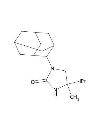 CC(C)C1(C)CN(C2C3CC4CC(C3)CC2C4)C(=O)N1